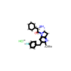 COc1nc2c(cc1Cc1ccc(F)cc1)N(C(=O)[C@@H](N)C1CCCCC1)CC2.Cl